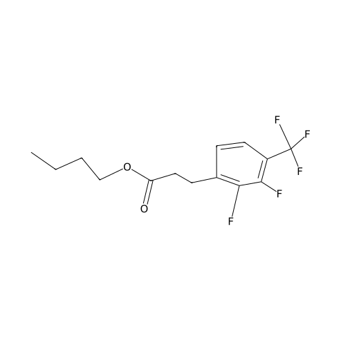 CCCCOC(=O)CCc1ccc(C(F)(F)F)c(F)c1F